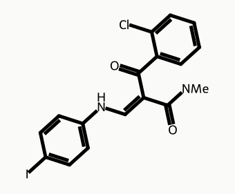 CNC(=O)C(=CNc1ccc(I)cc1)C(=O)c1ccccc1Cl